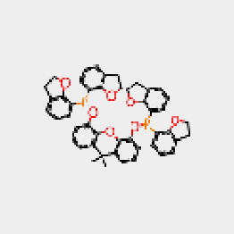 CC1(C)c2cccc(OP(c3cccc4c3OCC4)c3cccc4c3OCC4)c2Oc2c(OP(c3cccc4c3OCC4)c3cccc4c3OCC4)cccc21